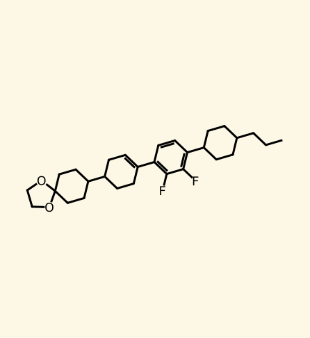 CCCC1CCC(c2ccc(C3=CCC(C4CCC5(CC4)OCCO5)CC3)c(F)c2F)CC1